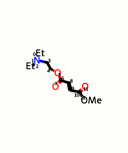 CCN(CC)CCOC(=O)C=CC(=O)OC